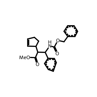 COC(=O)C(C1C=CCC1)C(NC(=O)OCc1ccccc1)c1ccccc1